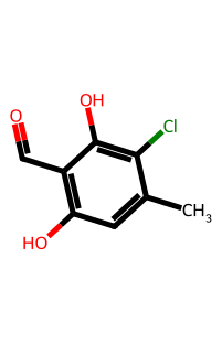 Cc1cc(O)c(C=O)c(O)c1Cl